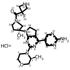 C[C@H]1COCCN1c1nc(-c2cnc(N)nc2)c2c(n1)N([C@@]1(C)CCN(C(=O)C3(F)CNC3)C1)CC2.Cl